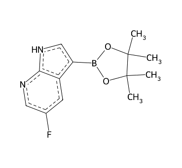 CC1(C)OB(c2c[nH]c3ncc(F)cc23)OC1(C)C